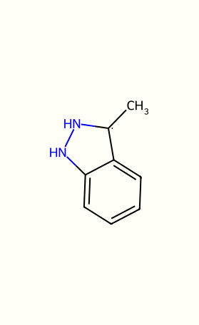 C[C]1NNc2ccccc21